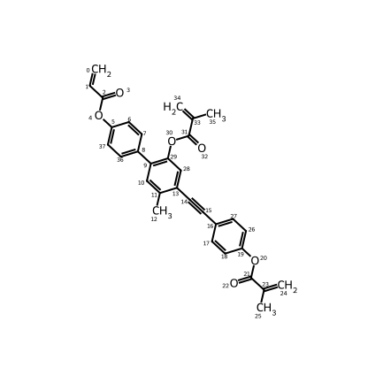 C=CC(=O)Oc1ccc(-c2cc(C)c(C#Cc3ccc(OC(=O)C(=C)C)cc3)cc2OC(=O)C(=C)C)cc1